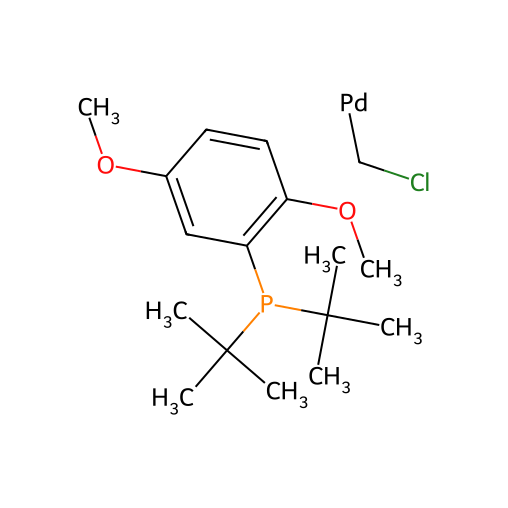 COc1ccc(OC)c(P(C(C)(C)C)C(C)(C)C)c1.Cl[CH2][Pd]